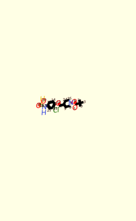 CC(C)(C)C(=O)ON1CCC(COc2ccc(N[SH](=O)=O)cc2Cl)CC1